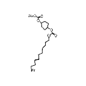 COC(=O)OC1CCC(OC(=O)OCCCCCCCCCCC(C)C)CC1